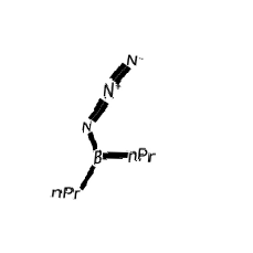 CCCB(CCC)N=[N+]=[N-]